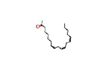 CCCC/C=C\C/C=C\C/C=C\CCCCCC(C)=O